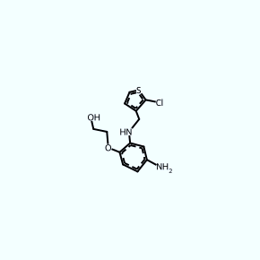 Nc1ccc(OCCO)c(NCc2ccsc2Cl)c1